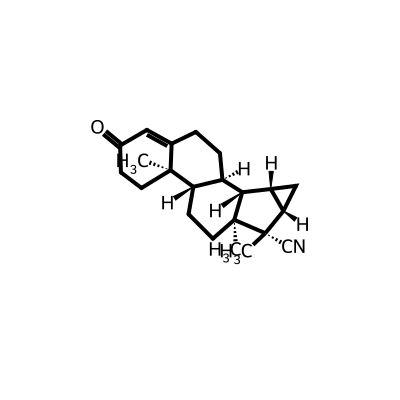 C[C@]12CCC(=O)C=C1CC[C@H]1[C@@H]3[C@@H]4C[C@@H]4[C@](C)(C#N)[C@@]3(C)CC[C@@H]12